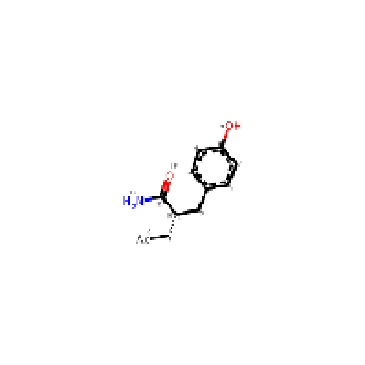 CC(=O)C[C@@H](Cc1ccc(O)cc1)C(N)=O